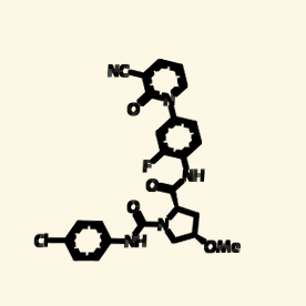 CO[C@@H]1C[C@H](C(=O)Nc2ccc(-n3cccc(C#N)c3=O)cc2F)N(C(=O)Nc2ccc(Cl)cc2)C1